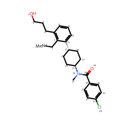 CNCc1c(CCCO)cccc1[C@H]1CC[C@H](N(C)C(=O)c2ccc(Cl)cc2)CC1